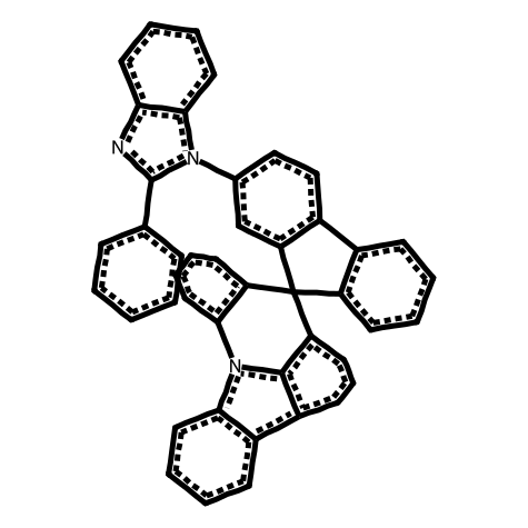 c1ccc(-c2nc3ccccc3n2-c2ccc3c(c2)C2(c4ccccc4-3)c3ccccc3-n3c4ccccc4c4cccc2c43)cc1